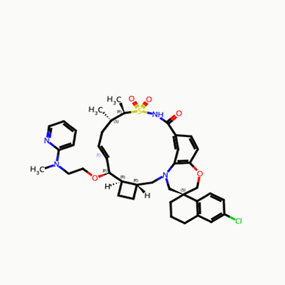 C[C@@H]1[C@@H](C)C/C=C/[C@H](OCCN(C)c2ccccn2)[C@@H]2CC[C@H]2CN2C[C@@]3(CCCc4cc(Cl)ccc43)COc3ccc(cc32)C(=O)NS1(=O)=O